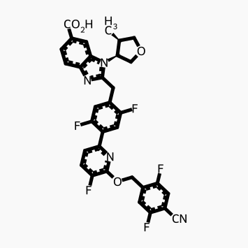 C[C@H]1COC[C@H]1n1c(Cc2cc(F)c(-c3ccc(F)c(OCc4cc(F)c(C#N)cc4F)n3)cc2F)nc2ccc(C(=O)O)cc21